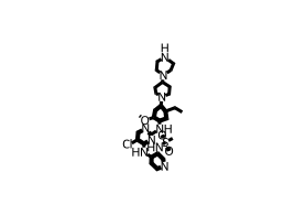 CCc1cc(Nc2ncc(Cl)c(Nc3ccncc3NS(C)(=O)=O)n2)c(OC)cc1N1CCC(N2CCNCC2)CC1